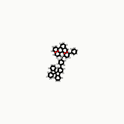 c1ccc(-c2ccc(N(c3ccc(-c4ccc5c(c4)C(c4ccccc4)(c4ccccc4)c4ccccc4-5)cc3)c3ccccc3-c3cccc4cccc(-c5ccccc5)c34)cc2)cc1